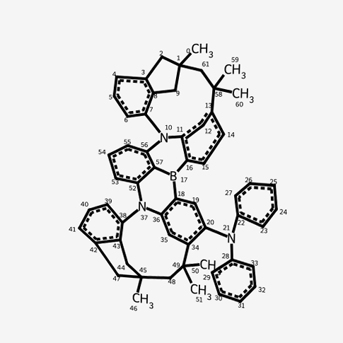 CC12Cc3cccc(c3C1)N1c3cc(ccc3B3c4cc(N(c5ccccc5)c5ccccc5)c5cc4N(c4cccc6c4CC(C)(C6)CC5(C)C)c4cccc1c43)C(C)(C)C2